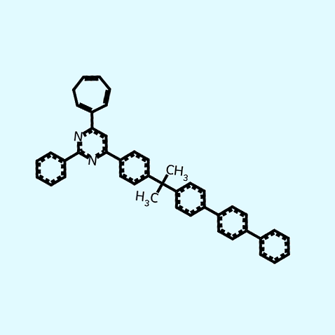 CC(C)(c1ccc(-c2ccc(-c3ccccc3)cc2)cc1)c1ccc(-c2cc(C3=CCC=CC=C3)nc(-c3ccccc3)n2)cc1